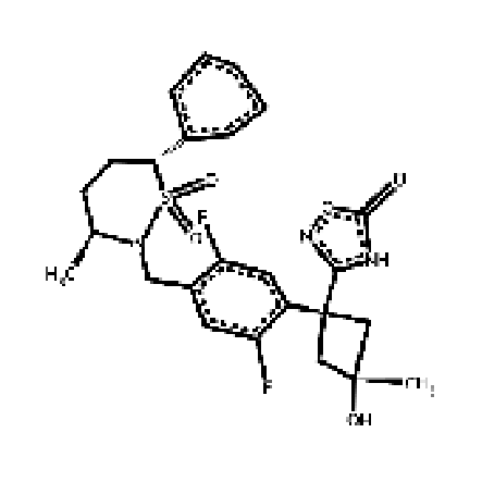 C[C@H]1CC[C@H](c2ccccc2)S(=O)(=O)N1Cc1cc(F)c([C@]2(c3noc(=O)[nH]3)C[C@@](C)(O)C2)cc1F